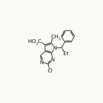 CC[C@H](c1ccccc1)n1c(C)c(C(=O)O)c2cnc(Cl)nc21